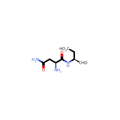 NC(=O)C[C@H](N)C(=O)N[C@H]([C]=O)CC(=O)O